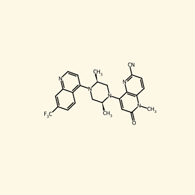 C[C@H]1CN(c2cc(=O)n(C)c3ccc(C#N)nc23)[C@@H](C)CN1c1ccnc2cc(C(F)(F)F)ccc12